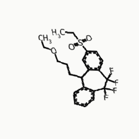 CCOCCCC1c2ccccc2C(F)(F)C(F)(F)c2ccc(S(=O)(=O)CC)cc21